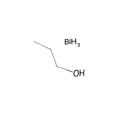 CCCO.[BiH3]